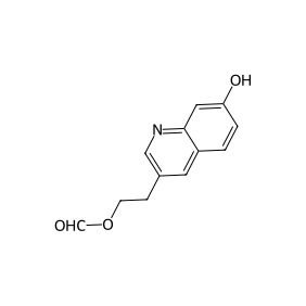 O=COCCc1cnc2cc(O)ccc2c1